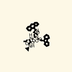 CCC[C@H](NC(=O)[C@@H]1C[C@]2(CC(c3c4ccccc4cc4ccccc34)=NO2)CN1C(=O)OCC1c2ccccc2-c2ccccc21)C(=O)C(=O)NC1CC1